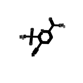 CC(=O)c1ccc(C#N)c(S(C)(=O)=O)n1